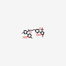 Cc1cc(O)c2c(c1)OC(C)(CCCc1cc(O)c3c(c1)OC(C)(C)c1ccc(C)cc1-3)c1ccc(C)cc1-2